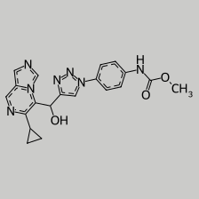 COC(=O)Nc1ccc(-n2cc(C(O)c3c(C4CC4)ncc4cncn34)nn2)cc1